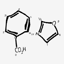 O=C(O)c1ccccc1.c1cocn1